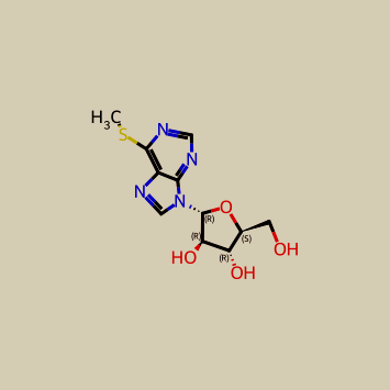 CSc1ncnc2c1ncn2[C@@H]1O[C@@H](CO)[C@H](O)[C@H]1O